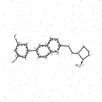 C[C@@H]1CCCN1CCc1ccc2cc(-c3cc(F)cc(F)c3)ccc2n1